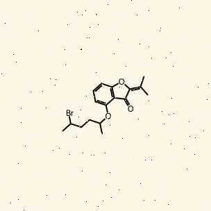 CC(C)=C1Oc2cccc(OC(C)CCC(C)Br)c2C1=O